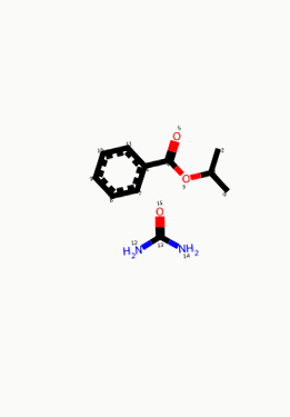 CC(C)OC(=O)c1ccccc1.NC(N)=O